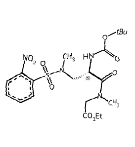 CCOC(=O)CN(C)C(=O)[C@H](CN(C)S(=O)(=O)c1ccccc1[N+](=O)[O-])NC(=O)OC(C)(C)C